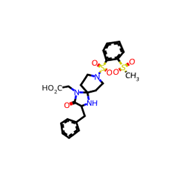 CS(=O)(=O)c1ccccc1S(=O)(=O)N1CCC2(CC1)NC(Cc1ccccc1)C(=O)N2CC(=O)O